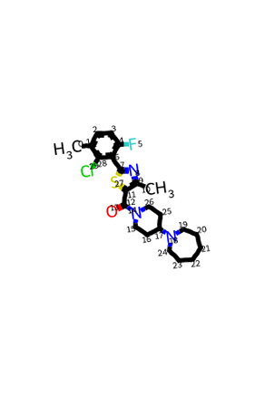 Cc1ccc(F)c(-c2nc(C)c(C(=O)N3CCC(N4CCCCCC4)CC3)s2)c1Cl